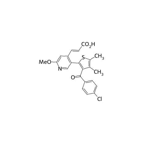 COc1cc(C=CC(=O)O)c(-c2sc(C)c(C)c2C(=O)c2ccc(Cl)cc2)cn1